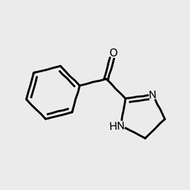 O=C(C1=NCCN1)c1ccccc1